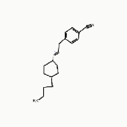 CCCC[C@H]1CC[C@H](/C=C/[CH]c2ccc(C#N)cc2)CC1